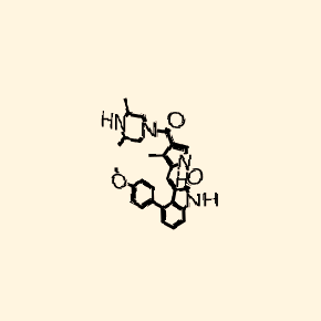 COc1ccc(-c2cccc3c2C(=Cc2[nH]cc(C(=O)N4CC(C)NC(C)C4)c2C)C(=O)N3)cc1